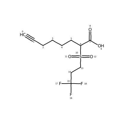 C#CCCCCC(C(=O)O)S(=O)(=O)CCC(F)(F)F